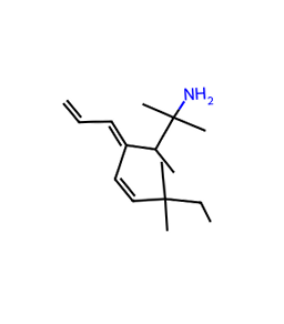 C=C/C=C(\C=C/C(C)(C)CC)C(C)C(C)(C)N